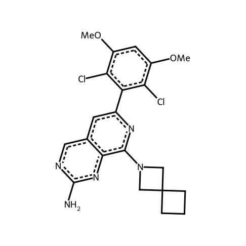 COc1cc(OC)c(Cl)c(-c2cc3cnc(N)nc3c(N3CC4(CCC4)C3)n2)c1Cl